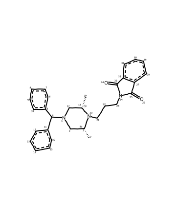 C[C@@H]1CN(C(c2ccccc2)c2ccccc2)C[C@H](C)N1CCCN1C(=O)c2ccccc2C1=O